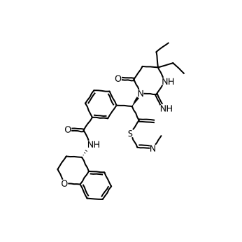 C=C(S/C=N\C)[C@@H](c1cccc(C(=O)N[C@H]2CCOc3ccccc32)c1)N1C(=N)NC(CC)(CC)CC1=O